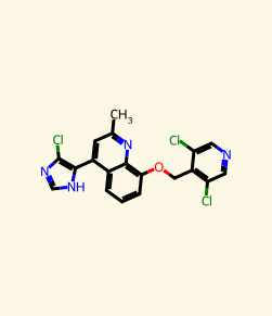 Cc1cc(-c2[nH]cnc2Cl)c2cccc(OCc3c(Cl)cncc3Cl)c2n1